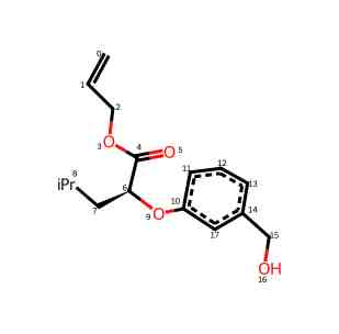 C=CCOC(=O)[C@H](CC(C)C)Oc1cccc(CO)c1